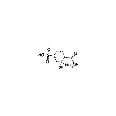 NC1(O)C=C(S(=O)(=O)O)C=CC1C(=O)O